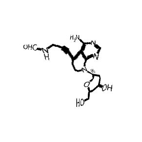 Nc1ncnc2c1C(C#CCNC=O)CN2[C@H]1CC(O)C(CO)O1